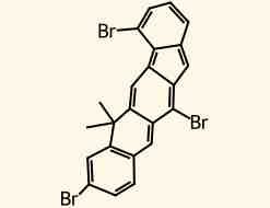 CC1(C)c2cc(Br)ccc2C=c2c1cc1c(c2Br)C=c2cccc(Br)c2=1